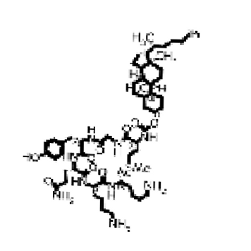 CSCC[C@H](NC(=O)O[C@H]1CC[C@@]2(C)C(CC[C@H]3C4CC[C@H]([C@H](C)CCCC(C)C)[C@@]4(C)CC[C@@H]32)C1)C(=O)NCC(=O)N[C@@H](Cc1ccc(O)cc1)C(=O)N[C@@H](CCC(N)=O)C(=O)N[C@@H](CCCCN)C(=O)N[C@@H](CCCCN)C(C)=O